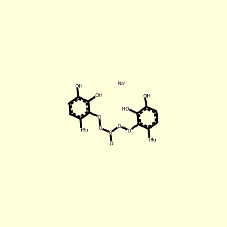 CC(C)(C)c1ccc(O)c(O)c1OOB([O-])OOc1c(C(C)(C)C)ccc(O)c1O.[Na+]